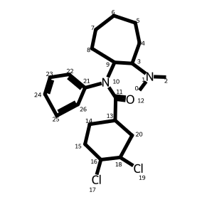 CN(C)C1CCCCCC1N(C(=O)C1CCC(Cl)C(Cl)C1)c1ccccc1